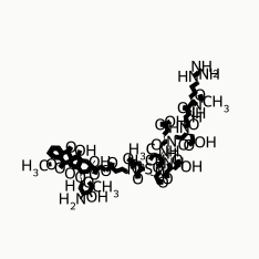 COc1cccc2c1C(=O)c1c(O)c3c(c(O)c1C2=O)C[C@@](O)(C(=O)COC(=O)CCCN1C(=O)CC(SC[C@@H](C=O)NC(=O)[C@H](CC(=O)O)NC(=O)[C@@H](NC(=O)[C@H](CCC(=O)O)NCC(=O)[C@H](CC(=O)O)NC(=O)CNC(=O)[C@H](CCCCNC(=N)N)NC(C)=O)C(C)C)C1=O)C[C@@H]3O[C@H]1C[C@H](N)[C@H](O)[C@H](C)O1